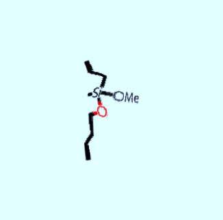 C=CCCO[Si](C)(CC=C)OC